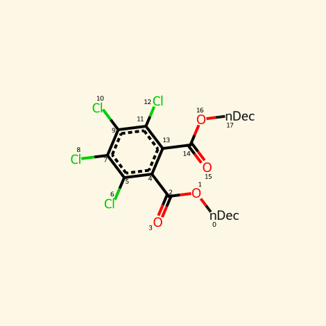 CCCCCCCCCCOC(=O)c1c(Cl)c(Cl)c(Cl)c(Cl)c1C(=O)OCCCCCCCCCC